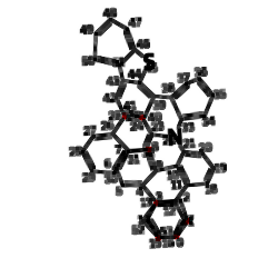 c1ccc(-c2ccccc2-c2c(-c3ccccc3)cccc2N(c2ccc3ccccc3c2)c2ccccc2-c2cccc3c2sc2ccccc23)cc1